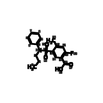 CCCN(c1ccccc1)S(=O)(=O)c1cc(C(=O)O)c(F)cc1C